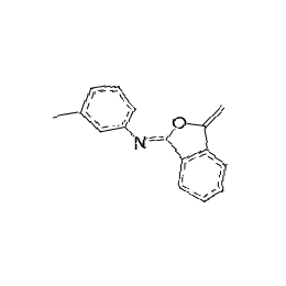 C=C1O/C(=N\c2cccc(C)c2)c2ccccc21